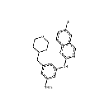 CC(=O)Nc1cc(CN2CCOCC2)cc(Nc2ncc3cc(Br)ccc3n2)c1